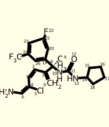 C=C(/C=C\C(Cl)=C/N)[C@](C)(NC(=O)NC1CCCC1)c1cc(F)cc(C(F)(F)F)c1